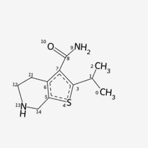 CC(C)c1sc2c(c1C(N)=O)CCNC2